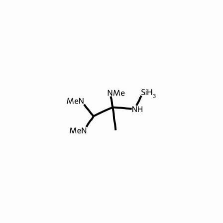 CNC(NC)C(C)(NC)N[SiH3]